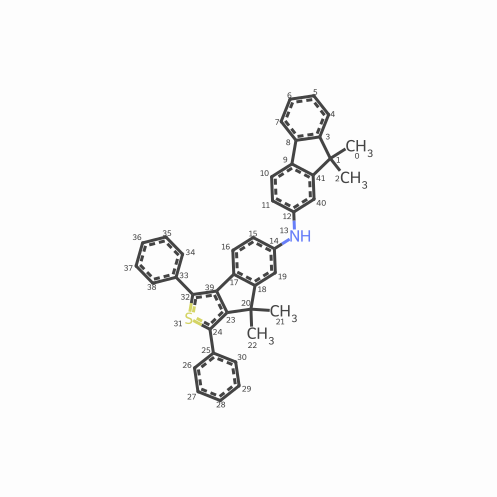 CC1(C)c2ccccc2-c2ccc(Nc3ccc4c(c3)C(C)(C)c3c(-c5ccccc5)sc(-c5ccccc5)c3-4)cc21